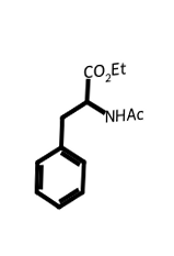 CCOC(=O)C(Cc1ccccc1)NC(C)=O